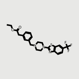 CCOC(=O)Cc1cccc(CN2CCN(c3nc4ccc(C(F)(F)F)cc4s3)CC2)c1